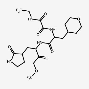 O=C(NCC(F)(F)F)C(=O)NC(CC1CCOCC1)C(=O)NC(CC1CCNC1=O)C(=O)COC(F)(F)F